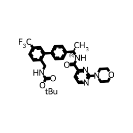 C[C@@H](NC(=O)c1ccnc(N2CCOCC2)n1)c1ccc(-c2cc(C(F)(F)F)ccc2CNC(=O)OC(C)(C)C)cc1